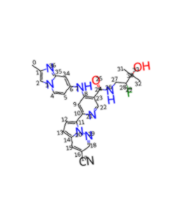 Cc1cn2ccc(Nc3cc(-c4ccc5cc(C#N)cnn45)ncc3C(=O)NCC(F)C(C)(C)O)cc2n1